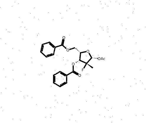 CC(=O)O[C@H]1O[C@@H](COC(=O)c2ccccc2)[C@@H](OC(=O)c2ccccc2)[C@@]1(C)F